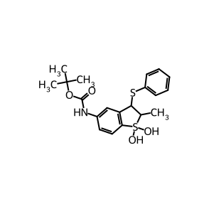 CC1C(Sc2ccccc2)c2cc(NC(=O)OC(C)(C)C)ccc2S1(O)O